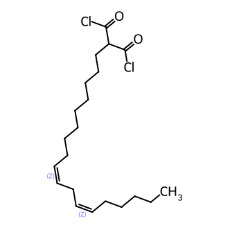 CCCCC/C=C\C/C=C\CCCCCCCCC(C(=O)Cl)C(=O)Cl